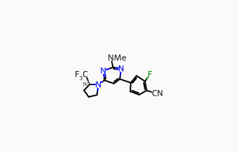 CNc1nc(-c2ccc(C#N)c(F)c2)cc(N2CCC[C@H]2C(F)(F)F)n1